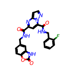 O=C(NCc1ccc2oc(=O)[nH]c2c1)c1cc(C(=O)NCc2ccccc2F)n2nccc2n1